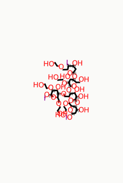 OCCOCC1O[C@@H](OI)[C@@H](OCCO)C(O)[C@H]1OCC1O[C@@H](O[C@H]2C(COCCO)O[C@@H](OI)C[C@H]2O)[C@@H](O)C(O)[C@H]1O[C@@H]1OC(CO)[C@H](O[C@H]2C[C@@H](O)[C@H](I)C(COCCO)O2)C(O)[C@@H]1OCCO